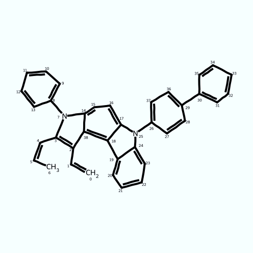 C=Cc1c(/C=C\C)n(-c2ccccc2)c2ccc3c(c4ccccc4n3-c3ccc(-c4ccccc4)cc3)c12